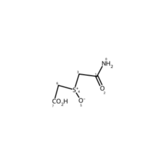 NC(=O)C[S+]([O-])CC(=O)O